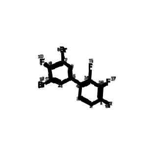 Fc1c[c]c(-c2cc(Br)c(F)c(Br)c2)c(F)c1F